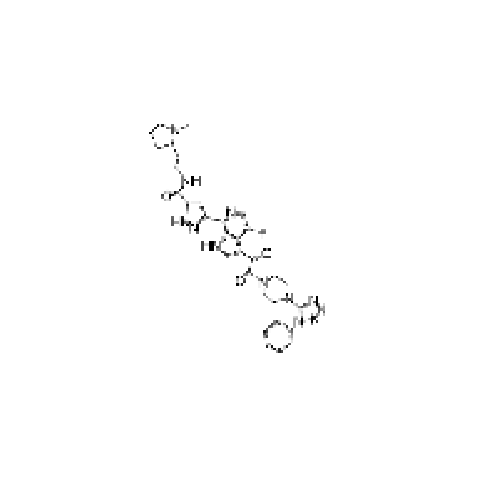 CN1CCCC1CCNC(=O)c1cc(-c2ncc(F)c3c(C(=O)C(=O)N4CCN(c5nnnn5-c5ccccc5)CC4)c[nH]c23)n[nH]1